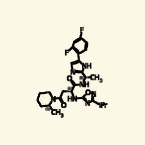 CC(C)c1noc(N[C@@H](CC(=O)N2CCCC[C@@H]2C)C(=O)N[C@H](C)c2ncc(-c3ccc(F)cc3F)[nH]2)n1